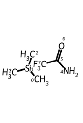 C[Si](C)C.NC(=O)C(F)(F)F